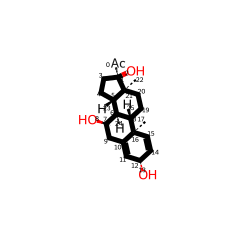 CC(=O)[C@@]1(O)CC[C@H]2[C@@H]3[C@H](O)CC4=C[C@@H](O)C=C[C@]4(C)[C@H]3CC[C@@]21C